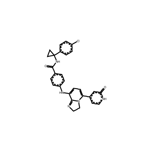 O=C(NC1(c2ccc(Cl)cc2)CC1)c1ccc(NC2=CC=C(c3cc[nH]c(=O)c3)N3CCN=C23)cc1